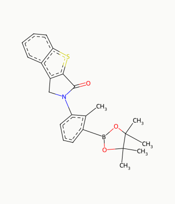 Cc1c(B2OC(C)(C)C(C)(C)O2)cccc1N1Cc2c(sc3ccccc23)C1=O